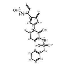 C=CC(NC=O)C1=NC(n2c(C)ccc(NS(=O)(=O)Cc3ccccc3)c2=O)=NC1=C